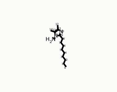 CCCCCCCCCc1nc(C)c(C)n1N